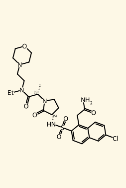 CCN(CCN1CCOCC1)C(=O)[C@H](C)N1CC[C@H](NS(=O)(=O)c2ccc3cc(Cl)ccc3c2CC(N)=O)C1=O